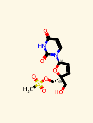 CS(=O)(=O)OC[C@@]1(CO)C=C[C@H](n2ccc(=O)[nH]c2=O)O1